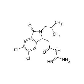 CC(C)CN1C(=O)c2cc(Cl)c(Cl)cc2C1CC(=O)NC(=N)N